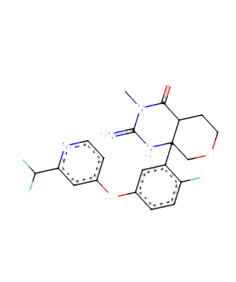 CN1C(=N)NC2(c3cc(Oc4ccnc(C(F)F)c4)ccc3F)COCCC2C1=O